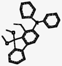 CCc1c(N(c2ccccc2)c2ccccc2)ccc2c1C(OC)(OC)c1ccccc1-2